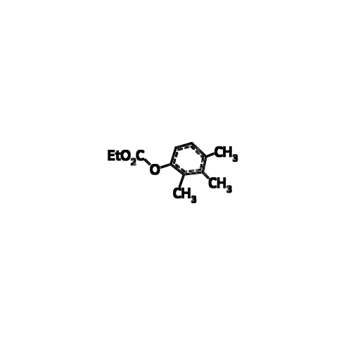 CCOC(=O)Oc1ccc(C)c(C)c1C